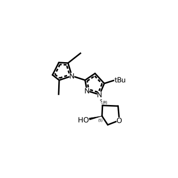 Cc1ccc(C)n1-c1cc(C(C)(C)C)n([C@@H]2COC[C@H]2O)n1